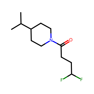 CC(C)C1CCN(C(=O)CCC(F)F)CC1